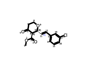 COC(=O)[C@H]1C(=O)CCO[C@@H]1/C=C/c1cccc(Cl)c1